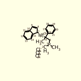 CP(C)C[C](C)([Hf+3][CH]1C=Cc2ccccc21)c1ccccc1.[Cl-].[Cl-].[Cl-]